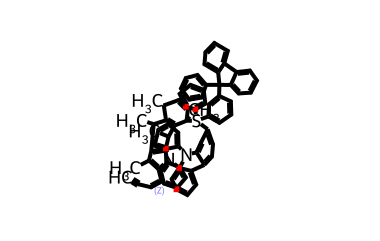 C#C/C=C\c1c(C)c2c3n1-c1ccccc1-c1ccc(cc1-n1c4ccccc4c4ccccc41)S(c1ccccc1)(c1cccc(C4(c5ccccc5)c5ccccc5-c5ccccc54)c1)C1(C)C=CC(C)C(=C1C3C)C2C